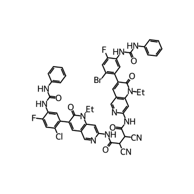 CCn1c(=O)c(-c2cc(NC(=O)Nc3ccccc3)c(F)cc2Cl)cc2cnc(NC(=O)C(C#N)C(C#N)C(=O)Nc3cc4c(cn3)cc(-c3cc(NC(=O)Nc5ccccc5)c(F)cc3Br)c(=O)n4CC)cc21